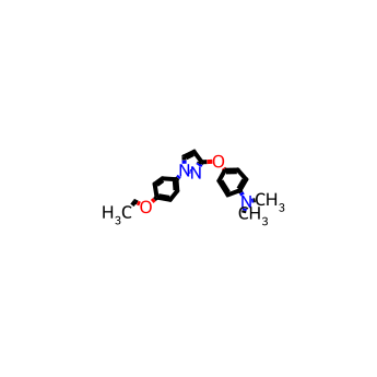 CCOc1ccc(-n2ccc(Oc3ccc(N(C)C)cc3)n2)cc1